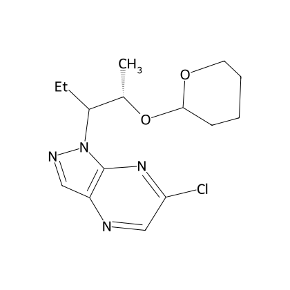 CCC([C@H](C)OC1CCCCO1)n1ncc2ncc(Cl)nc21